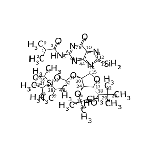 CC(C)C(=O)NC1=NC(=O)c2nc(=[SiH2])n([C@@H]3O[C@H](C(O)C(C)(C)C)[C@@H](OC(C)(C)C)[C@H]3OCO[Si](C(C)C)(C(C)C)C(C)C)c2=N1